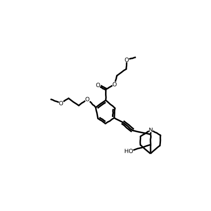 COCCOC(=O)c1cc(C#CC2C(O)C3CCN2CC3)ccc1OCCOC